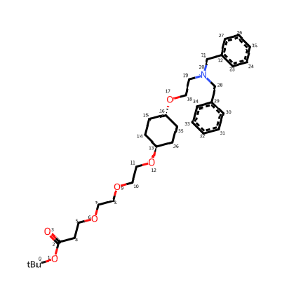 CC(C)(C)OC(=O)CCOCCOCCO[C@H]1CC[C@H](OCCN(Cc2ccccc2)Cc2ccccc2)CC1